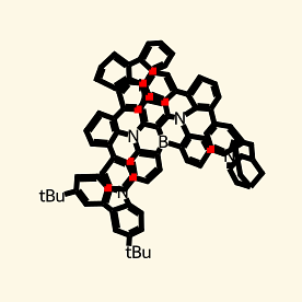 CC(C)(C)c1ccc2c(c1)c1cc(C(C)(C)C)ccc1n2-c1ccc2c(c1)N(c1c(-c3ccccc3)cccc1-c1ccccc1)c1cc(-n3c4ccccc4c4ccccc43)cc3c1B2c1ccc(N2C4CC5CC(C4)CC2C5)cc1N3c1c(-c2ccccc2)cccc1-c1ccccc1